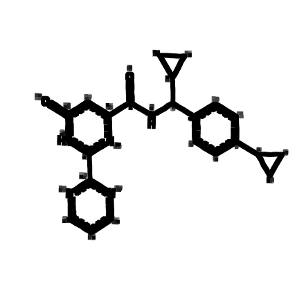 O=C(NC(c1ccc(C2CC2)cc1)C1CC1)c1cc(=O)[nH]c(-c2ncccn2)n1